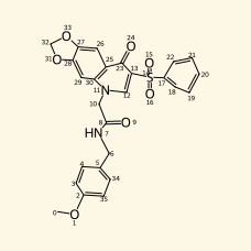 COc1ccc(CNC(=O)Cn2cc(S(=O)(=O)c3ccccc3)c(=O)c3cc4c(cc32)OCO4)cc1